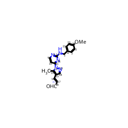 COc1ccc(CNc2nccc(-n3ncc(/C=C/C=O)c3C)n2)cc1